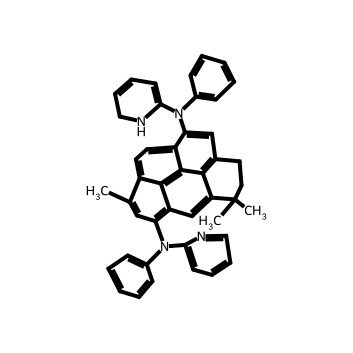 Cc1cc(N(c2ccccc2)c2ccccn2)c2cc3c4c(cc(N(C5=CC=CCN5)c5ccccc5)c5ccc1c2c54)CCC3(C)C